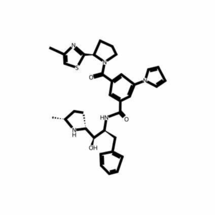 Cc1csc([C@H]2CCCN2C(=O)c2cc(C(=O)N[C@@H](Cc3ccccc3)[C@@H](O)[C@H]3CC[C@@H](C)N3)cc(-n3cccc3)c2)n1